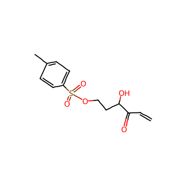 C=CC(=O)C(O)CCOS(=O)(=O)c1ccc(C)cc1